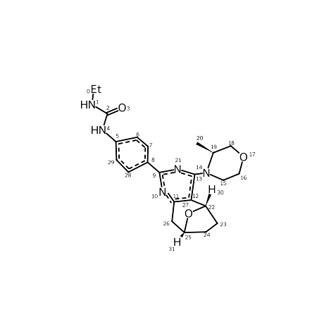 CCNC(=O)Nc1ccc(-c2nc3c(c(N4CCOC[C@@H]4C)n2)[C@@H]2CC[C@H](C3)O2)cc1